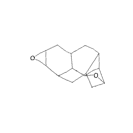 C1C2CC3C4CC5OC(C2C(C4)C2OC12)C53